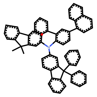 CC1(C)c2ccccc2-c2ccc(N(c3ccc4c(c3)C(c3ccccc3)(c3ccccc3)c3ccccc3-4)c3ccc(-c4cccc5ccccc45)cc3-c3ccccc3)cc21